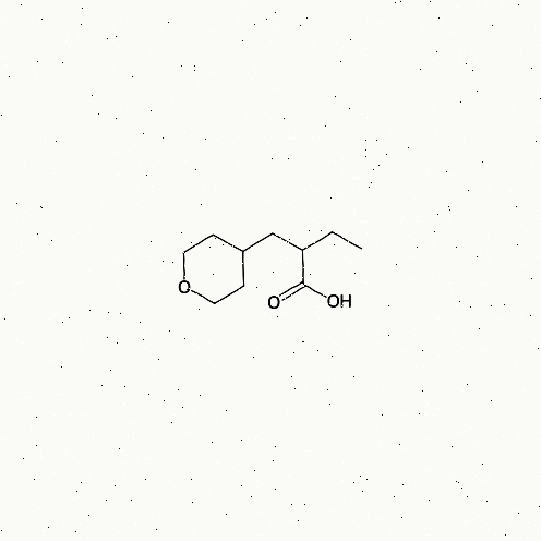 CCC(CC1CCOCC1)C(=O)O